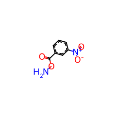 NOC(=O)c1cccc([N+](=O)[O-])c1